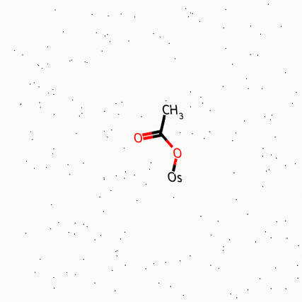 CC(=O)[O][Os]